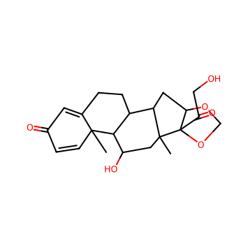 CC12C=CC(=O)C=C1CCC1C2C(O)CC2(C)C1CC1OCOC12C(=O)CO